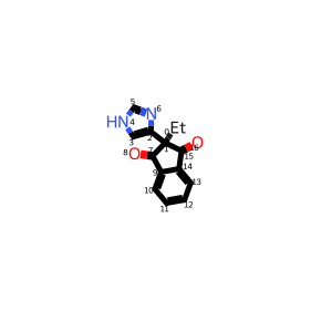 CCC1(c2c[nH]cn2)C(=O)c2ccccc2C1=O